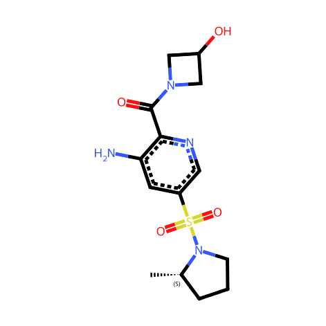 C[C@H]1CCCN1S(=O)(=O)c1cnc(C(=O)N2CC(O)C2)c(N)c1